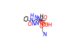 N#CCCO[PH](=O)O[C@H]1[C@H]2OC[C@]1(CO)O[C@H]2n1cnc2c(NC(=O)c3ccccc3)ncnc21